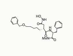 CNC(=O)[C@H](Cc1ccccc1)NC(=O)[C@H](CCCCCOCc1ccccc1)CC(=O)NO